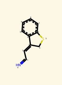 N=C/C=C1\CSc2ccccc21